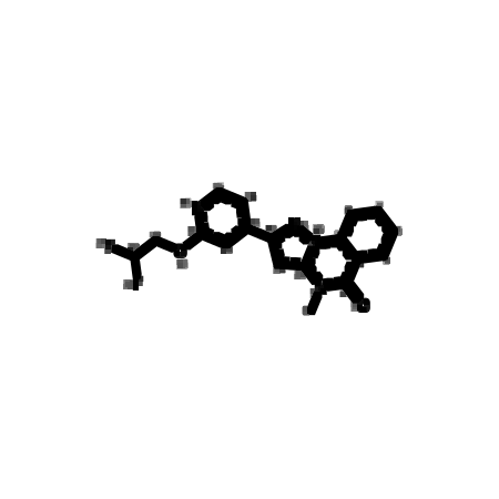 Cn1c(=O)c2ccccc2n2nc(-c3ccnc(OCC(F)F)c3)cc12